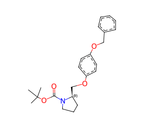 CC(C)(C)OC(=O)N1CCC[C@@H]1COc1ccc(OCc2ccccc2)cc1